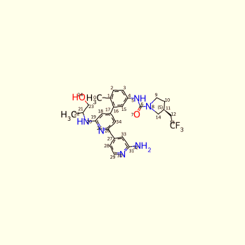 Cc1ccc(NC(=O)N2CC[C@@H](CC(F)(F)F)C2)cc1-c1cc(NC(C)CO)nc(-c2ccnc(N)c2)c1